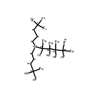 FC(F)(F)CCCN(CCCC(F)(F)F)C(F)(F)C(F)(F)C(F)(F)C(F)(F)F